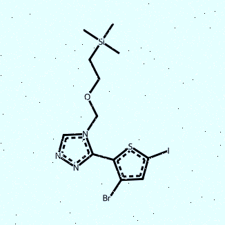 C[Si](C)(C)CCOCn1cnnc1-c1sc(I)cc1Br